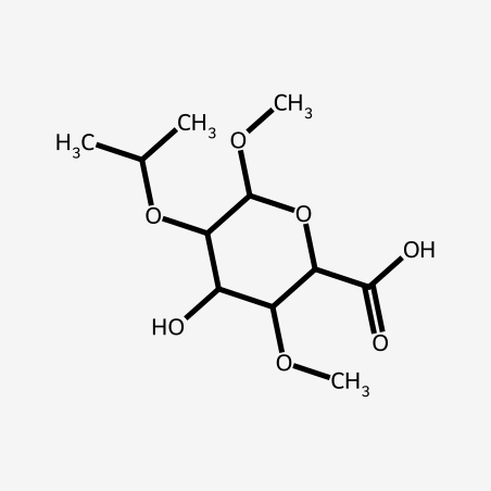 COC1OC(C(=O)O)C(OC)C(O)C1OC(C)C